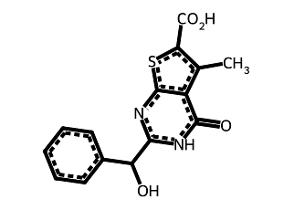 Cc1c(C(=O)O)sc2nc(C(O)c3ccccc3)[nH]c(=O)c12